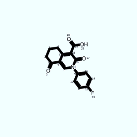 O=C1CCCc2c1cn(-c1ccc(F)cc1)c(=O)c2C(=O)O